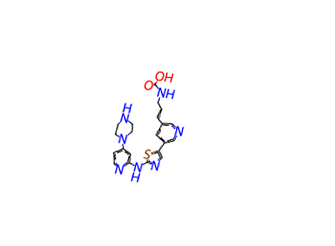 O=C(O)NC/C=C/c1cncc(-c2cnc(Nc3cc(N4CCNCC4)ccn3)s2)c1